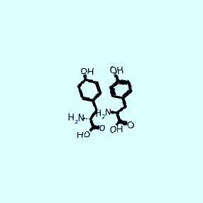 NC(Cc1ccc(O)cc1)C(=O)O.N[C@H](CC1CCC(O)CC1)C(=O)O